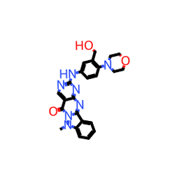 Cn1c2ccccc2c2nc3nc(Nc4ccc(N5CCOCC5)c(CO)c4)ncc3c(=O)n21